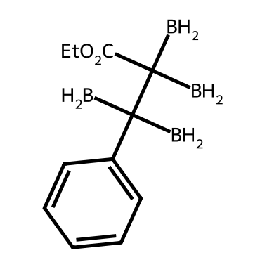 BC(B)(C(=O)OCC)C(B)(B)c1ccccc1